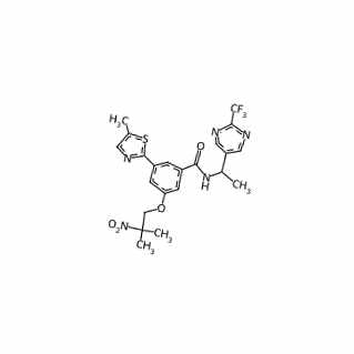 Cc1cnc(-c2cc(OCC(C)(C)[N+](=O)[O-])cc(C(=O)NC(C)c3cnc(C(F)(F)F)nc3)c2)s1